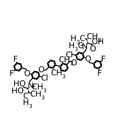 Cc1c(COc2cc(OCc3cc(F)cc(F)c3)c(CN(C)[C@@H](C(C)C)C(O)O)cc2Cl)cccc1-c1cccc(COc2cc(OCc3cc(F)cc(F)c3)c(CN(C)[C@H](C(=O)O)C(C)C)cc2Cl)c1C